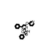 O=S(=O)(Nc1nc(Oc2cccnc2)cc(-c2ccccc2)n1)c1ccccc1